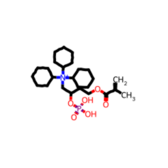 C=C(C)C(=O)OCCC(C[N+](C1CCCCC1)(C1CCCCC1)C1CCCCC1)OP(=O)(O)O